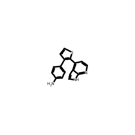 Nc1ccc(-c2ccsc2-c2ccnc3[nH]ccc23)cc1